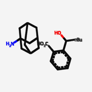 CCCCC(O)c1ccccc1C(=O)O.NC12CC3CC(CC(C3)C1)C2